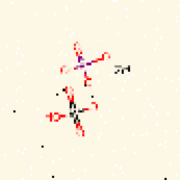 O=P([O-])([O-])[O-].[O]=[W](=[O])([O-])[OH].[Zr+4]